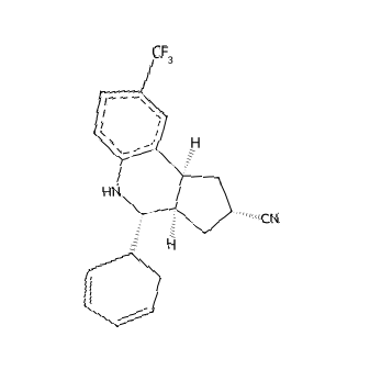 N#C[C@@H]1C[C@@H]2[C@H](C1)c1cc(C(F)(F)F)ccc1N[C@H]2C1C=CC=CC1